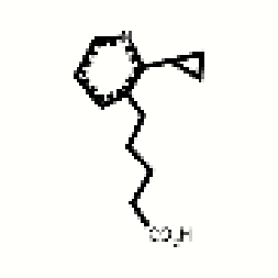 O=C(O)CCCCc1cccnc1C1CC1